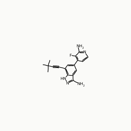 CC(C)(C)C#Cc1cc(-c2ccnc(N)c2F)cc2c(N)n[nH]c12